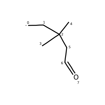 [CH2]CC(C)(C)CC=O